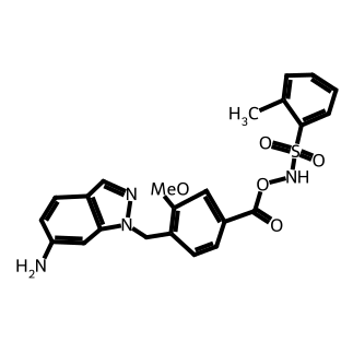 COc1cc(C(=O)ONS(=O)(=O)c2ccccc2C)ccc1Cn1ncc2ccc(N)cc21